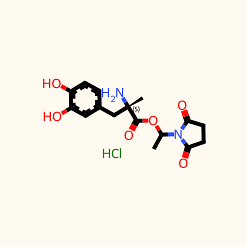 CC(OC(=O)[C@@](C)(N)Cc1ccc(O)c(O)c1)N1C(=O)CCC1=O.Cl